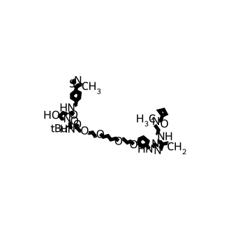 C=Cc1cnc(Nc2cccc(OCCCOCCCCOCCCOCC(=O)N[C@H](C(=O)N3C[C@H](O)C[C@H]3C(=O)NCc3ccc(-c4scnc4C)cc3)C(C)(C)C)c2)nc1NCCCN(C)C(=O)C1CCC1